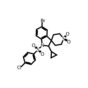 O=S1(=O)CCC2(CC1)c1cc(Br)ccc1N(S(=O)(=O)c1ccc(Cl)cc1)C2C1CC1